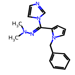 CN(C)N=C(c1cccn1Cc1ccccc1)n1ccnc1